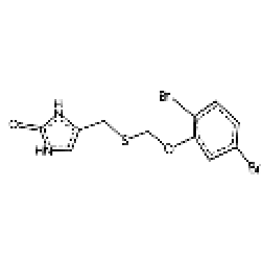 O=c1[nH]cc(CSCOc2cc(Br)ccc2Br)[nH]1